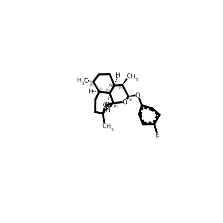 C[C@H]1[C@@H](Oc2ccc(F)cc2)O[C@@H]2OC3(C)CC[C@H]4[C@H](C)CC[C@@H]1[C@@]24OO3